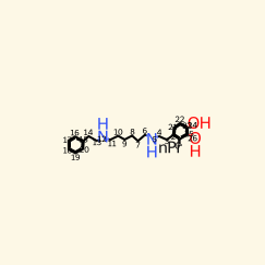 CCCc1c(CCNCCCCCCNCCc2ccccc2)ccc(O)c1O